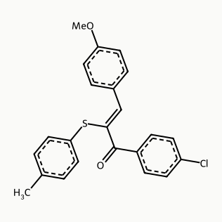 COc1ccc(C=C(Sc2ccc(C)cc2)C(=O)c2ccc(Cl)cc2)cc1